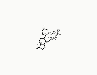 C=C1CCC2[C@H](COC(C)=O)C([C@@]3(C)CC[C@H](C)C[C@@H]3COS(C)(=O)=O)CC[C@]12C